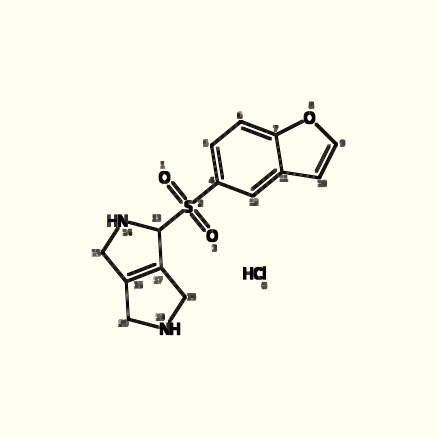 Cl.O=S(=O)(c1ccc2occc2c1)C1NCC2=C1CNC2